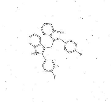 Fc1ccc(-c2[nH]c3ccccc3c2Cc2c(-c3ccc(F)cc3)[nH]c3ccccc23)cc1